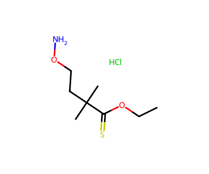 CCOC(=S)C(C)(C)CCON.Cl